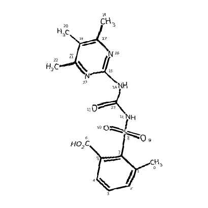 Cc1cccc(C(=O)O)c1S(=O)(=O)NC(=O)Nc1nc(C)c(C)c(C)n1